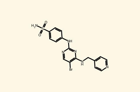 NS(=O)(=O)c1ccc(Nc2ncc(Br)c(NCc3ccncc3)n2)cc1